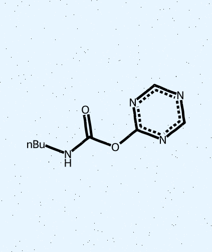 CCCCNC(=O)Oc1ncncn1